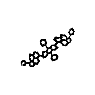 c1ccc(-c2c3ccc(-c4ccc5ccc6c(-c7cccnc7)ccc7ccc4c5c76)cc3c(-c3ccccc3)c3cc(-c4ccc5ccc6c(-c7cccnc7)ccc7ccc4c5c76)ccc23)cc1